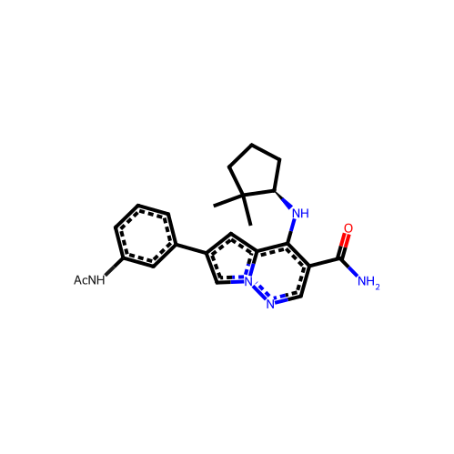 CC(=O)Nc1cccc(-c2cc3c(N[C@@H]4CCCC4(C)C)c(C(N)=O)cnn3c2)c1